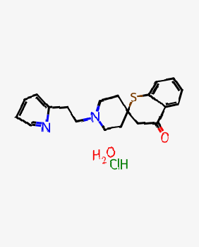 Cl.O.O=C1CC2(CCN(CCc3ccccn3)CC2)Sc2ccccc21